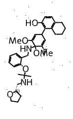 COC1=CC(c2c(O)ccc3c2CCCC3)C=C(F)C1(NCc1ccccc1OC(C)(C)NC[C@@H]1CCCO1)OC